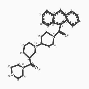 O=C(c1c2ccccc2cc2ccccc12)N1CCC(N2CCCC(C(=O)N3CCOCC3)C2)CC1